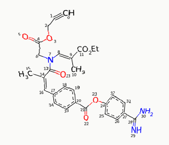 C#CCOC(=O)CN(C=C(C)C(=O)OCC)C(=O)C(C)=Cc1ccc(C(=O)Oc2ccc(C(=N)N)cc2)cc1